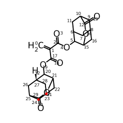 C=C(C(=O)OC1C2CC3CC(C2)C(=O)OC1C3)C(=O)OC1C2CC3CC(C[C@H]1C3)C(=O)O2